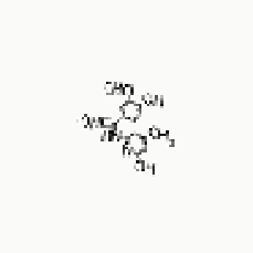 Cc1cc(O)nc(N[C@H]([C]=O)c2ccc(O)c(C=O)c2)c1